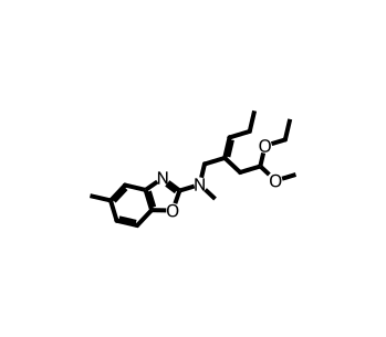 CC/C=C(\CC(OC)OCC)CN(C)c1nc2cc(C)ccc2o1